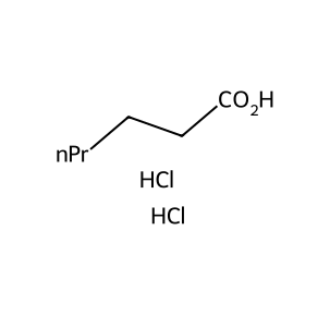 CCCCCC(=O)O.Cl.Cl